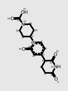 O=C1CCC(c2ccn(C3CCN(C(=O)O)CC3)c(=O)c2)C(=O)N1